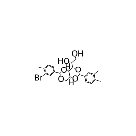 Cc1ccc(C2O[C@H]([C@H](O)CO)[C@@H]3OC(c4ccc(C)c(Br)c4)OC[C@@H]3O2)cc1C